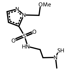 COCn1nccc1S(=O)(=O)NCCN(C)S